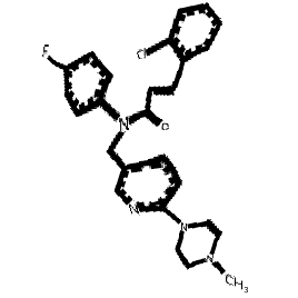 CN1CCN(c2ccc(CN(C(=O)/C=C/c3ccccc3Cl)c3ccc(F)cc3)cn2)CC1